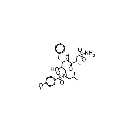 COc1ccc(S(=O)(=O)N(CC(C)C)C[C@@H](O)[C@H](Cc2ccccc2)NC(=O)[C@@H](C)CS(N)(=O)=O)cc1